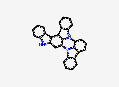 c1ccc2c(c1)[nH]c1cc3c4c(c5ccccc5n4c4cccc5c6ccccc6n3c54)c12